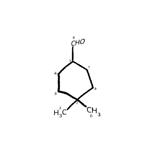 CC1(C)CCC(C=O)CC1